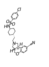 N#Cc1ccc2c(c1)[C@@H]1CN(CC[C@H]3CC[C@H](NS(=O)(=O)c4ccc(Cl)cc4)CC3)C[C@H]1CO2